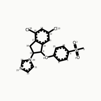 CS(=O)(=O)c1ccc(OC2c3cc(Cl)cc(Cl)c3CC2n2ccnc2)cc1